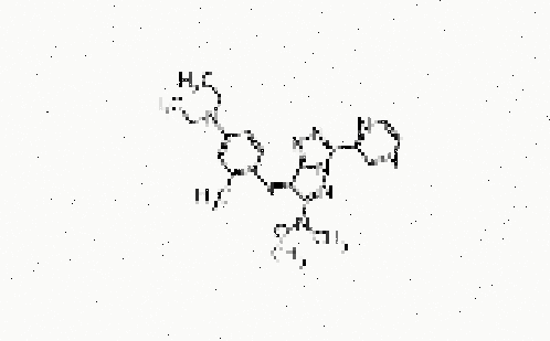 CCN(CC)c1ccc(/N=C2/C(N(C)OC)=Nn3c2nnc3-c2cnccn2)c(C)c1